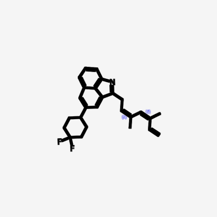 C=C/C(C)=C\C(C)=C/CC1=Nc2cccc3cc(C4CCC(F)(F)CC4)cc1c23